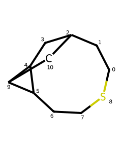 C1CC2CC3C(CCS1)C3C2